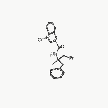 CC(C)CC(C)(Cc1ccccc1)NC(=O)c1cc2ccccc2[n+]([O-])c1